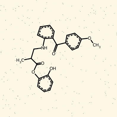 COc1ccc(C(=O)c2ccccc2NCC(C)C(=O)Oc2ccccc2O)cc1